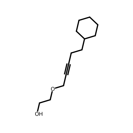 OCCOCC#CCCC1CCCCC1